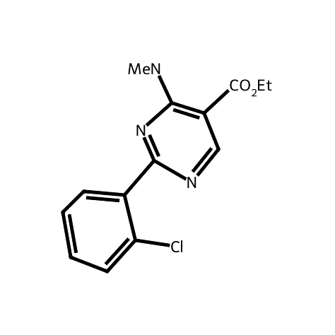 CCOC(=O)c1cnc(-c2ccccc2Cl)nc1NC